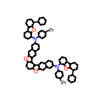 CC(C)c1ccc(N(c2ccc3cc4c(cc3c2)oc2ccc3oc5cc6cc(N(c7ccc(C(C)C)cc7)c7cccc8c7oc7c(-c9ccccc9)cccc78)ccc6cc5c3c24)c2cccc3c2oc2c(-c4ccccc4)cccc23)cc1